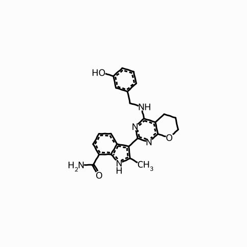 Cc1[nH]c2c(C(N)=O)cccc2c1-c1nc(NCc2cccc(O)c2)c2c(n1)OCCC2